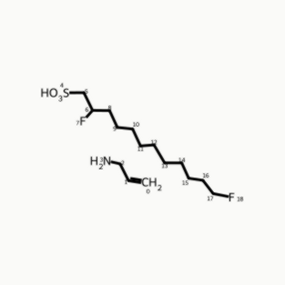 C=CCN.O=S(=O)(O)CC(F)CCCCCCCCCCF